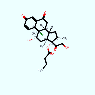 CCCC(=O)O[C@@]1(C(=O)CO)[C@@H](C)C[C@H]2[C@@H]3CC(=O)C4=CC(=O)C=C[C@]4(C)[C@@]3(F)[C@@H](O)C[C@@]21C